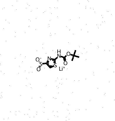 CC(C)(C)OC(=O)Nc1nc(S(=O)[O-])cs1.[Li+]